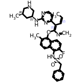 C=N/C(Oc1c(C)ccc2c(NS(=O)(=O)Cc3ccccc3)c(F)ccc12)=C(\C=C/C)c1ccnc(N[C@@H]2CNC[C@H](C)C2)n1